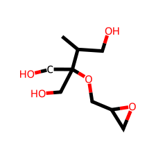 CC(CO)C(CO)(CO)OCC1CO1